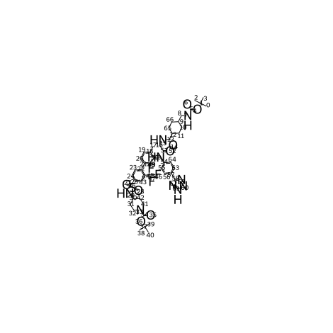 CC(C)(C)OC(=O)NCC1CCC(C(=O)N[C@@H](Cc2ccc(-c3ccc(S(=O)(=O)NC4CCN(C(=O)OC(C)(C)C)CC4)cc3C(F)(F)F)cc2)C(=O)Nc2ccc(-c3nn[nH]n3)cc2)CC1